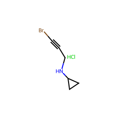 BrC#CCNC1CC1.Cl